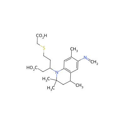 C=Nc1cc2c(cc1C)N(C(CCSCC(=O)O)CC(=O)O)C(C)(C)CC2C